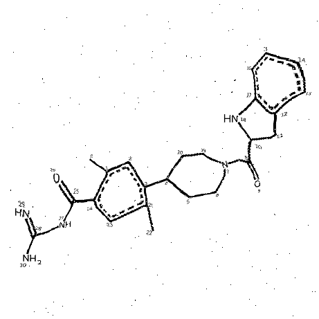 Cc1cc(C2CCN(C(=O)C3Cc4ccccc4N3)CC2)c(C)cc1C(=O)NC(=N)N